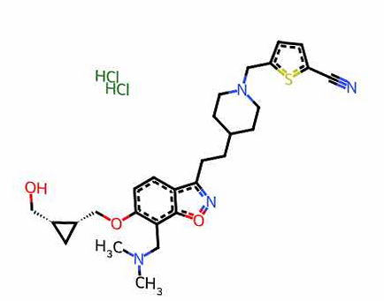 CN(C)Cc1c(OC[C@@H]2C[C@@H]2CO)ccc2c(CCC3CCN(Cc4ccc(C#N)s4)CC3)noc12.Cl.Cl